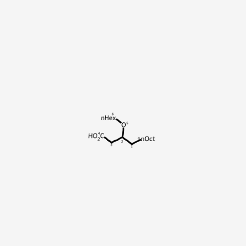 CCCCCCCCCC(CC(=O)O)OCCCCCC